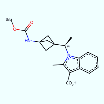 Cc1c(C(=O)O)c2ccccc2n1[C@H](C)C12CC(NC(=O)OC(C)(C)C)(C1)C2